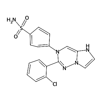 NS(=O)(=O)c1ccc(N2C=C3NC=CN3N=C2c2ccccc2Cl)cc1